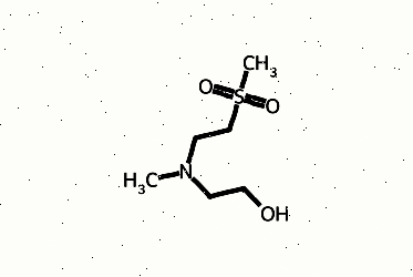 CN(CCO)CCS(C)(=O)=O